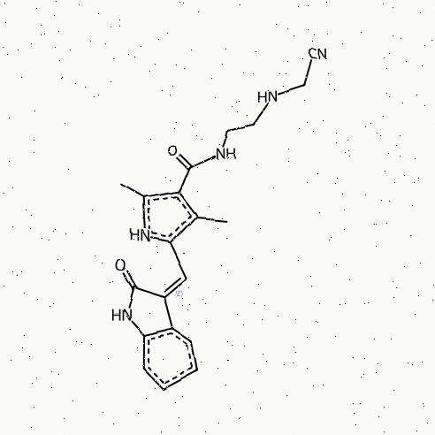 Cc1[nH]c(/C=C2\C(=O)Nc3ccccc32)c(C)c1C(=O)NCCNCC#N